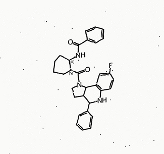 O=C(N[C@@H]1CCCC[C@@H]1C(=O)N1CCC2C(c3ccccc3)Nc3ccc(F)cc3C21)c1ccccc1